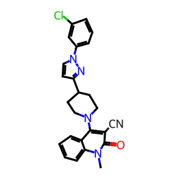 Cn1c(=O)c(C#N)c(N2CCC(c3ccn(-c4cccc(Cl)c4)n3)CC2)c2ccccc21